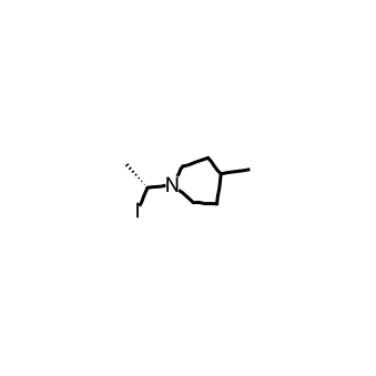 CC1CCN([C@@H](C)I)CC1